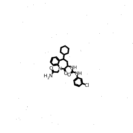 NC(=O)CN1C(=O)C(NC(=O)Nc2cccc(Cl)c2)CC(C2CCCCC2)c2ccccc21